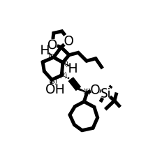 CCCCC1[C@H]2[C@H](C#C[C@@H](O[Si](C)(C)C(C)(C)C)C3CCCCCCC3)[C@@H](O)CC[C@H]2C12OCCO2